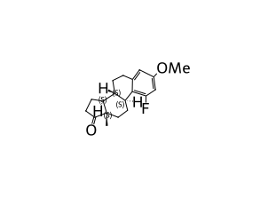 COc1cc(F)c2c(c1)CC[C@@H]1[C@@H]2CC[C@]2(C)C(=O)CC[C@@H]12